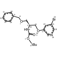 CC(C)(C)OC(=O)N[C@@H](COCc1ccccc1)COc1cncc(Br)c1